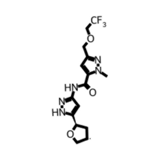 Cn1nc(COCC(F)(F)F)cc1C(=O)Nc1cc([C@H]2C[CH]CO2)[nH]n1